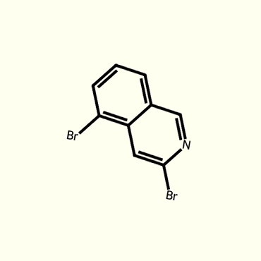 Brc1cc2c(Br)cccc2cn1